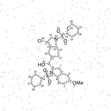 COc1ccc2c(c1)cc(C(O)c1ccc3c(c1)c(Cl)cn3S(=O)(=O)c1ccccc1)n2S(=O)(=O)c1ccccc1